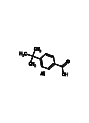 CC(C)(C)c1ccc(C(=O)O)cc1.[Al]